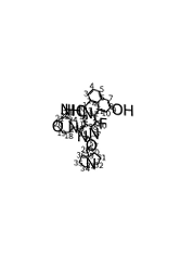 C#Cc1cccc2cc(O)cc(-c3ncc4c(N5CCOCC(N)C5)nc(OCC56CCCN5CCC6)nc4c3F)c12